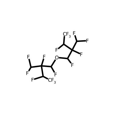 FC(F)C(F)(C(F)OC(F)C(F)(C(F)F)C(F)C(F)(F)F)C(F)C(F)(F)F